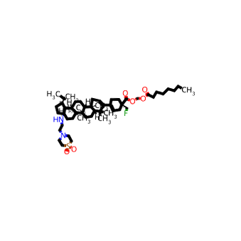 C=C(C)[C@@H]1CC[C@]2(NCCN3CCS(=O)(=O)CC3)CC[C@]3(C)[C@H](CC[C@@H]4[C@@]5(C)CC=C(C6=CC[C@@](CF)(C(=O)OCOC(=O)CCCCCCC)CC6)C(C)(C)[C@@H]5CC[C@]43C)[C@@H]12